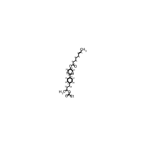 C/C=C/CCCCC(=O)Oc1cnc(-c2ccc(CCC(C)OC(=O)CC)cc2)nc1